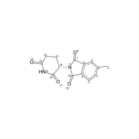 Cc1ccc2c(c1)C(=O)N([C@H]1CCC(=O)NC1=O)C2=O